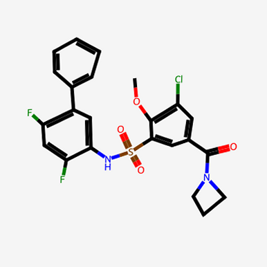 COc1c(Cl)cc(C(=O)N2CCC2)cc1S(=O)(=O)Nc1cc(-c2ccccc2)c(F)cc1F